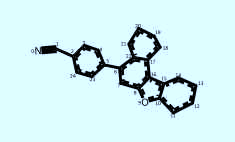 N#Cc1ccc(-c2cc3oc4ccccc4c3c3ccccc23)cc1